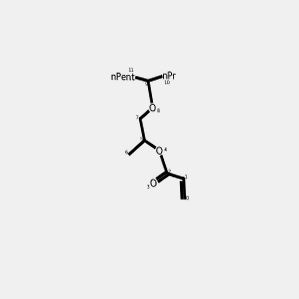 C=CC(=O)OC(C)COC(CCC)CCCCC